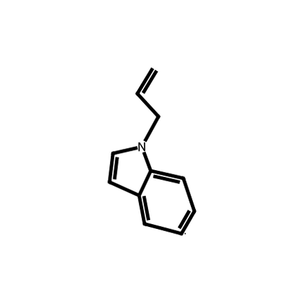 C=CCn1ccc2c[c]ccc21